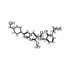 CC(C)Oc1nc2nc(C3CCC(CO)CC3)cn2cc1C(=O)Nc1cccn([C@H]2C[C@H]2F)c1=O